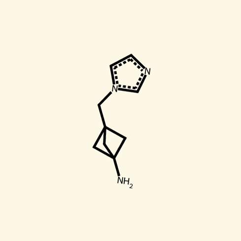 NC12CC(Cn3ccnc3)(C1)C2